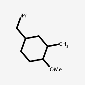 COC1CCC(CC(C)C)CC1C